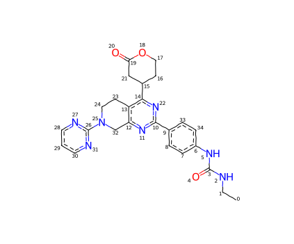 CCNC(=O)Nc1ccc(-c2nc3c(c(C4CCOC(=O)C4)n2)CCN(c2ncccn2)C3)cc1